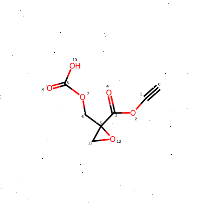 C#COC(=O)C1(COC(=O)O)CO1